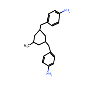 CC1CC(Cc2ccc(N)cc2)CC(Cc2ccc(N)cc2)C1